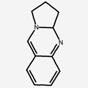 C1=c2ccccc2=NC2CCCN12